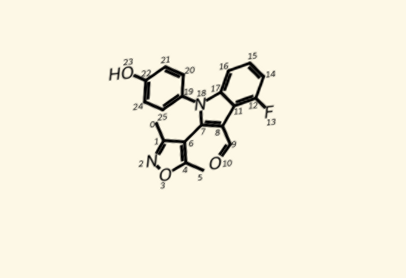 Cc1noc(C)c1-c1c(C=O)c2c(F)cccc2n1-c1ccc(O)cc1